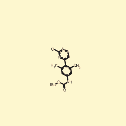 Cc1cc(NC(=O)OC(C)(C)C)cc(C)c1-c1cnnc(Cl)n1